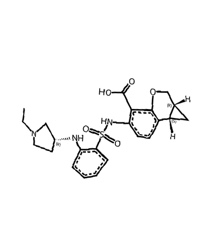 CCN1CC[C@@H](Nc2ccccc2S(=O)(=O)Nc2ccc3c(c2C(=O)O)OC[C@@H]2C[C@H]32)C1